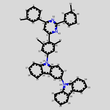 Cc1cccc(-c2cc(-c3c(C)cc(-n4c5ccccc5c5cc(-n6c7ccccc7c7ccccc76)ccc54)cc3C)nc(-c3cccc(C)c3)n2)c1